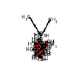 CCCCCCCCCCCCC/C=C/[C@@H](O)[C@H](CO[C@@H]1OC(CO)[C@@H](O[C@@H]2OC(CO)[C@H](O[C@@H]3OC(CO)[C@H](O)[C@H](O[C@@H]4OC(CO)[C@H](O)[C@H](O[C@H]5OC(CO)[C@H](O)[C@H](O)C5O)C4O[C@H]4OC(C)[C@@H](O)C(O)[C@@H]4O)C3NC(C)=O)[C@H](O[C@]3(C(=O)O)CC(O)[C@@H](NC(C)=O)C([C@H](O)[C@@H](CO)O[C@]4(C(=O)O)CC(O)[C@@H](NC(C)=O)C([C@H](O)[C@H](O)CO)O4)O3)C2O)[C@H](O)C1O)NC(=O)CCCCCCCCCCCCCCCCC